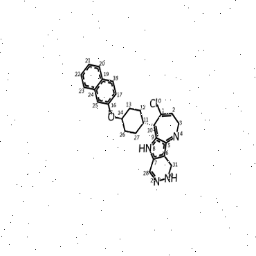 ClC1=CCN=c2c3c([nH]c2=C1[C@H]1CC[C@H](Oc2ccc4ccccc4c2)CC1)C=NNC3